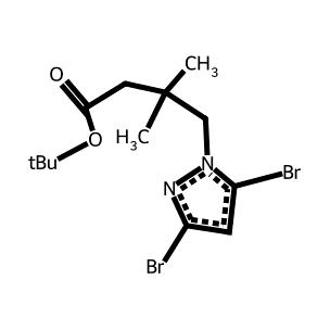 CC(C)(CC(=O)OC(C)(C)C)Cn1nc(Br)cc1Br